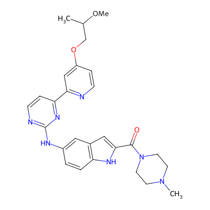 COC(C)COc1ccnc(-c2ccnc(Nc3ccc4[nH]c(C(=O)N5CCN(C)CC5)cc4c3)n2)c1